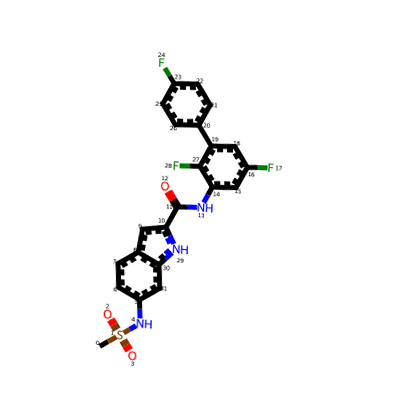 CS(=O)(=O)Nc1ccc2cc(C(=O)Nc3cc(F)cc(-c4ccc(F)cc4)c3F)[nH]c2c1